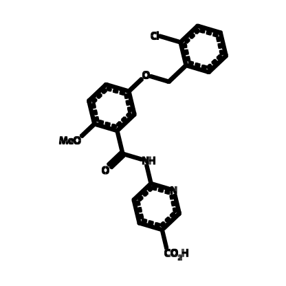 COc1ccc(OCc2ccccc2Cl)cc1C(=O)Nc1ccc(C(=O)O)cn1